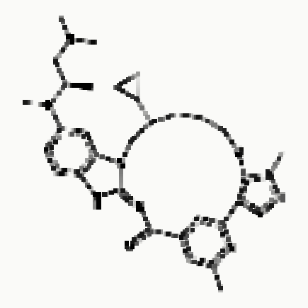 Cc1cc2cc(n1)-c1cnn(C)c1OCCC[C@@H](C1CC1)CN1/C(=N/C2=O)Nc2ccc(N(C)[C@H](C)CN(C)C)cc21